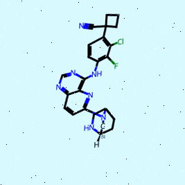 N#CC1(c2ccc(Nc3ncnc4ccc(N5C[C@@H]6CCC5CN6)nc34)c(F)c2Cl)CCC1